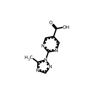 Cc1ncnn1-c1ncc(C(=O)O)cn1